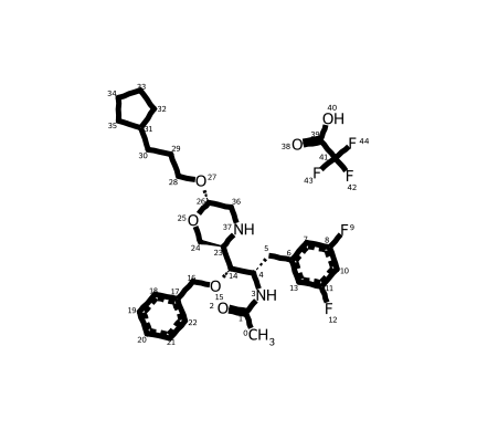 CC(=O)N[C@@H](Cc1cc(F)cc(F)c1)[C@H](OCc1ccccc1)[C@H]1CO[C@H](OCCCC2CCCC2)CN1.O=C(O)C(F)(F)F